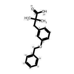 CC(C)(Cc1cccc(OCc2ccccc2)c1)C(=O)O